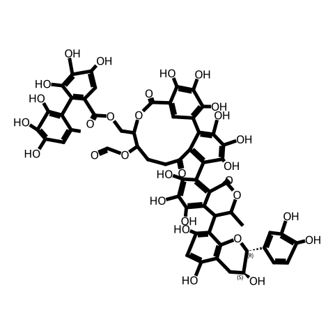 Cc1cc(O)c(O)c(O)c1-c1c(C(=O)OCC2OC(=O)c3cc(c(O)c(O)c3O)-c3c(O)c(O)c(O)c(-c4c(O)c(O)c(O)c5c4C(=O)OC(C)C5c4c(O)cc(O)c5c4O[C@H](c4ccc(O)c(O)c4)[C@@H](O)C5)c3C(=O)CCC2OC=O)cc(O)c(O)c1O